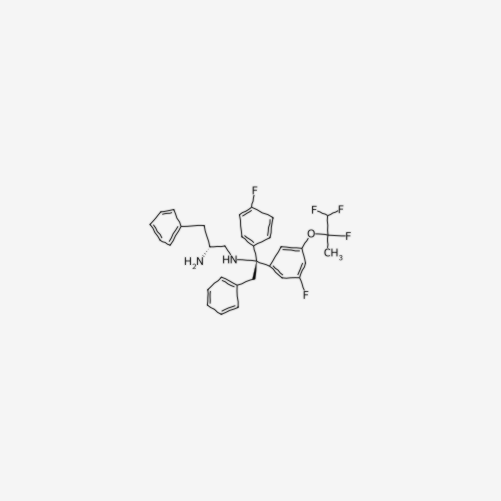 CC(F)(Oc1cc(F)cc([C@](Cc2ccccc2)(NC[C@H](N)Cc2ccccc2)c2ccc(F)cc2)c1)C(F)F